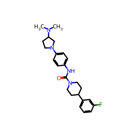 CN(C)C1CCN(c2ccc(NC(=O)N3CCC(c4cccc(F)c4)CC3)cc2)C1